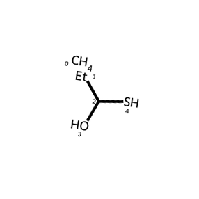 C.CCC(O)S